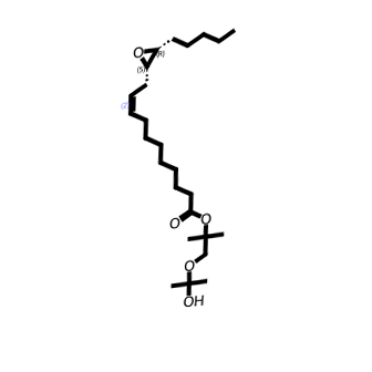 CCCCC[C@H]1O[C@H]1C/C=C\CCCCCCCC(=O)OC(C)(C)COC(C)(C)O